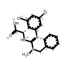 CN(Cc1ccccc1)C(=Nc1cc(Cl)cc(Cl)c1)NCC(=O)O